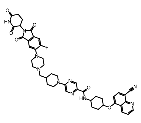 N#Cc1ccc(OC2CCC(NC(=O)c3cnc(N4CCC(CN5CCN(c6cc7c(cc6F)C(=O)N(C6CCC(=O)NC6=O)C7=O)CC5)CC4)cn3)CC2)c2cccnc12